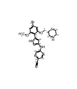 COc1cc(Br)cc(OC[C@H]2CNCCS2)c1-c1cc(Nc2cnc(C#N)cn2)n[nH]1